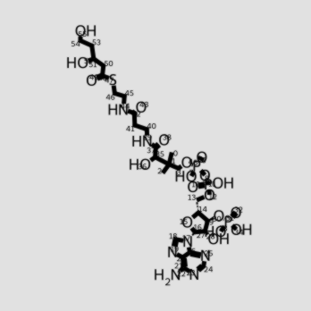 CC(C)(COP(=O)(O)OP(=O)(O)OC[C@H]1O[C@@H](n2cnc3c(N)ncnc32)[C@H](O)[C@@H]1OP(=O)(O)O)C(O)C(=O)NCCC(=O)NCCSC(=O)CC(O)CCO